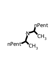 CCCCCC(C)[N]C(C)CCCCC